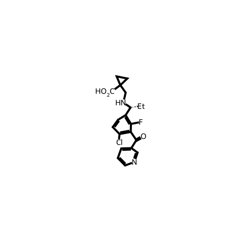 CC[C@@H](NCC1(C(=O)O)CC1)c1ccc(Cl)c(C(=O)c2cccnc2)c1F